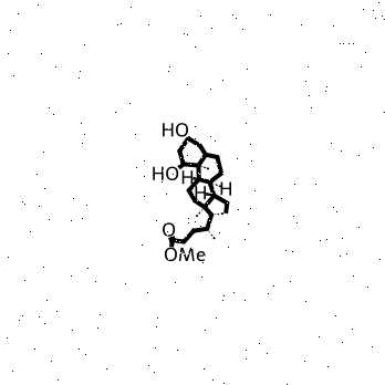 COC(=O)CC[C@@H](C)[C@H]1CC[C@H]2[C@@H]3CCC4CC(O)CC(O)[C@]4(C)[C@H]3CC[C@]12C